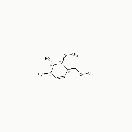 COC[C@H]1C=C[C@@H](C)[C@H](O)[C@H]1OC